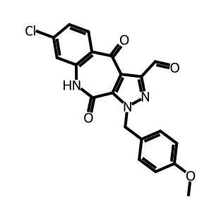 COc1ccc(Cn2nc(C=O)c3c(=O)c4ccc(Cl)cc4[nH]c(=O)c32)cc1